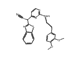 COc1ccc(CCNc2nccc(C(C#N)c3nc4ccccc4s3)n2)cc1OC